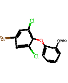 COc1c[c]ccc1Oc1c(Cl)cc(Br)cc1Cl